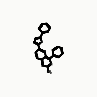 Nc1nc(-c2ccccc2)c2nc(-c3ccc(-c4ccccc4)s3)ccc2n1